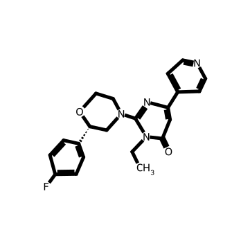 CCn1c(N2CCO[C@@H](c3ccc(F)cc3)C2)nc(-c2ccncc2)cc1=O